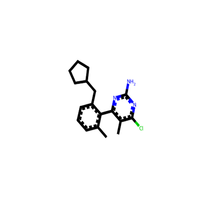 Cc1cccc(CC2CCCC2)c1-c1nc(N)nc(Cl)c1C